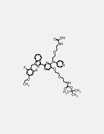 CCOc1cc(F)c(Cn2nc(-c3ncc(OCCOCCNC(=O)OC(C)(C)C)c(N(CCOCCNC(=O)O)c4ccncc4)n3)c3ccccc32)c(F)c1